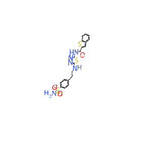 NS(=O)(=O)c1ccc(CCNc2nnc(NC(=O)c3cc4ccccc4s3)s2)cc1